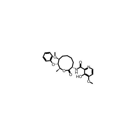 COc1ccnc(C(=O)N[C@H]2CCCC[C@H](OC)[C@@H](Oc3ccccc3)[C@H](C)OC2=O)c1O